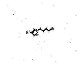 BrCCCCn1cc(Br)cn1